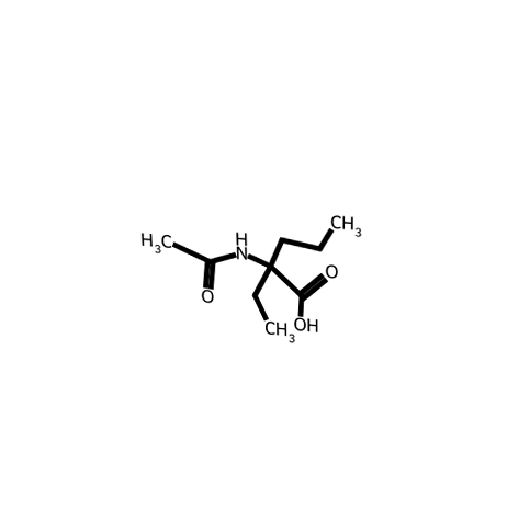 CCCC(CC)(NC(C)=O)C(=O)O